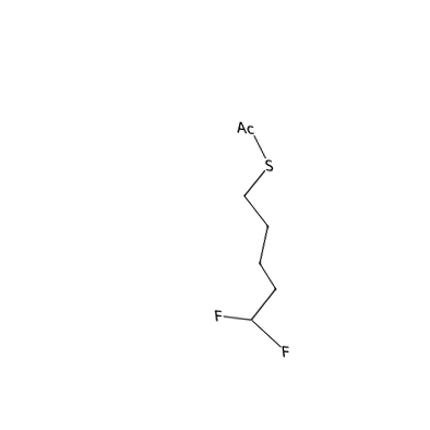 CC(=O)SCCCCC(F)F